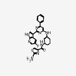 Nc1nc(C(=O)NC2CCCC(Nc3cc(-c4ccccc4)nc(-c4c[nH]c5ncc(F)cc45)n3)C2)cs1